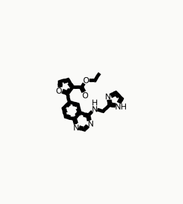 CCOC(=O)c1ccoc1-c1ccc2ncnc(NCc3ncc[nH]3)c2c1